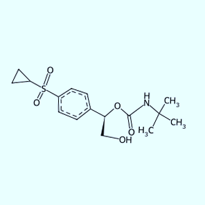 CC(C)(C)NC(=O)O[C@@H](CO)c1ccc(S(=O)(=O)C2CC2)cc1